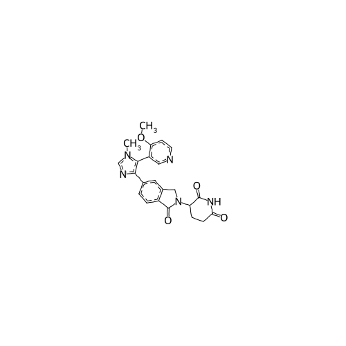 COc1ccncc1-c1c(-c2ccc3c(c2)CN(C2CCC(=O)NC2=O)C3=O)ncn1C